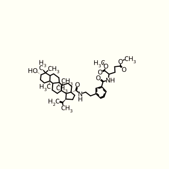 C=C(C)[C@@H]1CC[C@]2(C(=O)NCCc3cccc(C(=O)NC(CCC(=O)OC)C(=O)OC)c3)CC[C@]3(C)C(CCC4[C@@]5(C)CC[C@H](O)C(C)(C)C5CC[C@]43C)C12